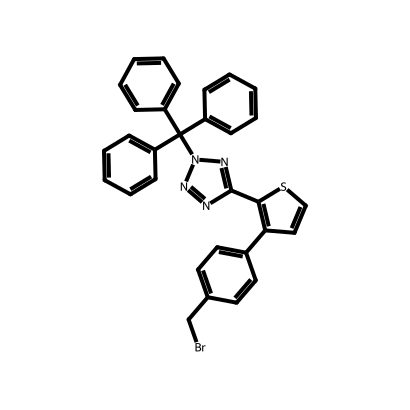 BrCc1ccc(-c2ccsc2-c2nnn(C(c3ccccc3)(c3ccccc3)c3ccccc3)n2)cc1